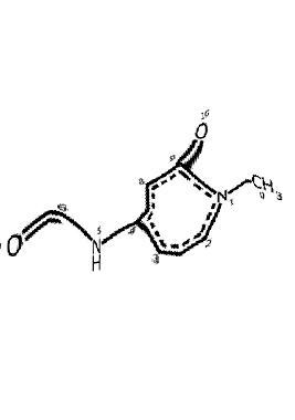 Cn1ccc(NC=O)cc1=O